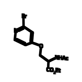 CCOC(=O)C(COc1ccnc(Br)c1)NC(C)=O